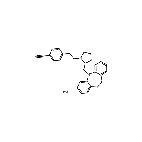 Cl.N#Cc1ccc(CCN2CCCC2CN2c3ccccc3COc3ccccc32)cc1